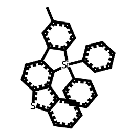 Cc1ccc2c(c1)-c1ccc3sc4ccccc4c3c1[Si]2(c1ccccc1)c1ccccc1